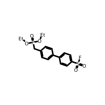 CCOP(=O)(Cc1ccc(-c2ccc(S(=O)(=O)F)cc2)cc1)OCC